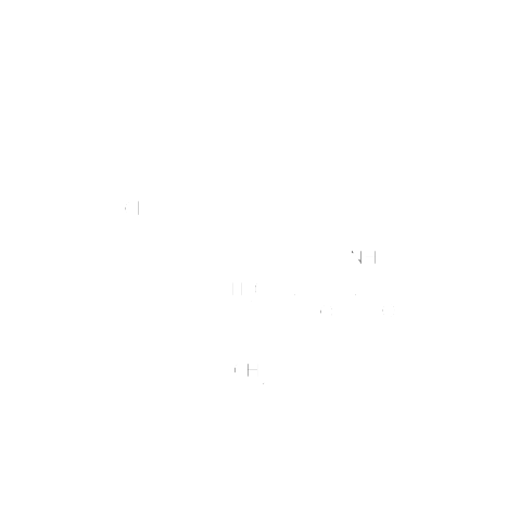 C=CCC1(C)OC(=O)Nc2ccc(-c3cccc(Cl)c3)cc21